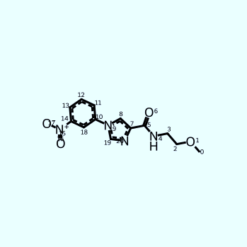 COCCNC(=O)c1cn(-c2cccc([N+](=O)[O-])c2)cn1